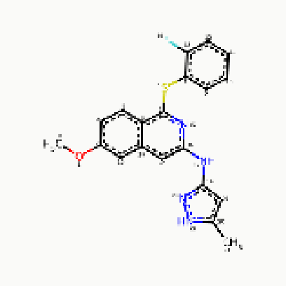 COc1ccc2c(Sc3ccccc3F)nc(Nc3cc(C)[nH]n3)cc2c1